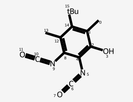 Cc1c(O)c(N=C=O)c(N=C=O)c(C)c1C(C)(C)C